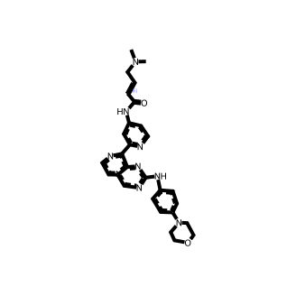 CN(C)C/C=C/C(=O)Nc1ccnc(-c2nccc3cnc(Nc4ccc(N5CCOCC5)cc4)nc23)c1